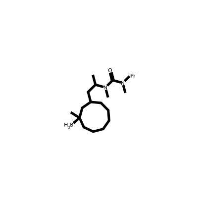 BC1(C)CCCCCCC(CC(C)N(C)C(=O)N(C)C(C)C)C1